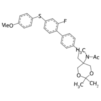 COc1ccc(Sc2ccc(-c3ccc(CCC4(N(C)C(C)=O)COC(C)(C)OC4)cc3)c(F)c2)cc1